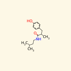 CC(C)CCNC(=O)C(C)Cc1ccc(O)cc1